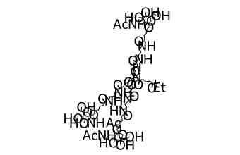 CCC(C)(C)C(=O)CCCC(=O)NC(COCCC(=O)NCCCNC(=O)CCCCOC1OC(CO)C(O)C(O)C1NC(C)=O)(COCCC(=O)NCCCNC(=O)CCCCOC1OC(CO)C(O)C(O)C1NC(C)=O)COCCC(=O)NCCCNC(=O)CCCCOC1OC(CO)C(O)C(O)C1NC(C)=O